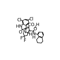 O=C(Nc1cccc2c1CCCC2)[C@H]1[C@H]2CC(F)(F)CN2[C@]2(C(=O)Nc3c(Cl)cc(Cl)cc32)[C@H]1C(=O)O